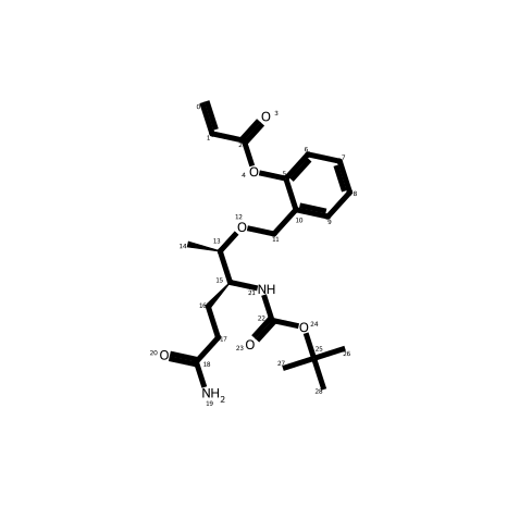 C=CC(=O)Oc1ccccc1CO[C@H](C)[C@H](CCC(N)=O)NC(=O)OC(C)(C)C